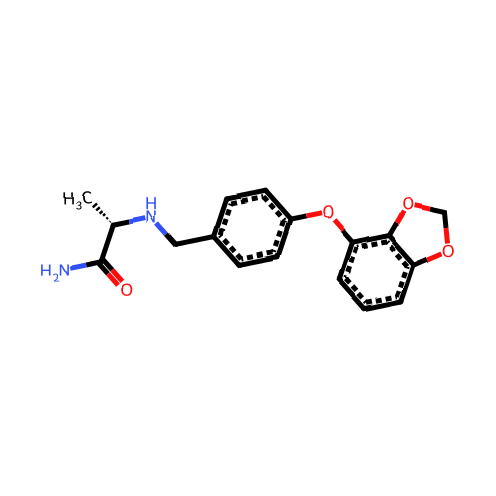 C[C@H](NCc1ccc(Oc2cccc3c2OCO3)cc1)C(N)=O